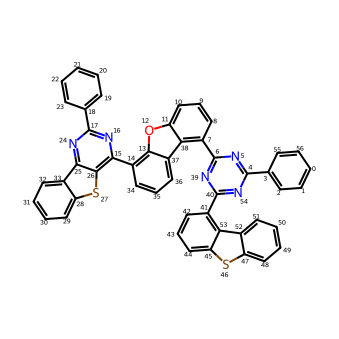 c1ccc(-c2nc(-c3cccc4oc5c(-c6nc(-c7ccccc7)nc7c6sc6ccccc67)cccc5c34)nc(-c3cccc4sc5ccccc5c34)n2)cc1